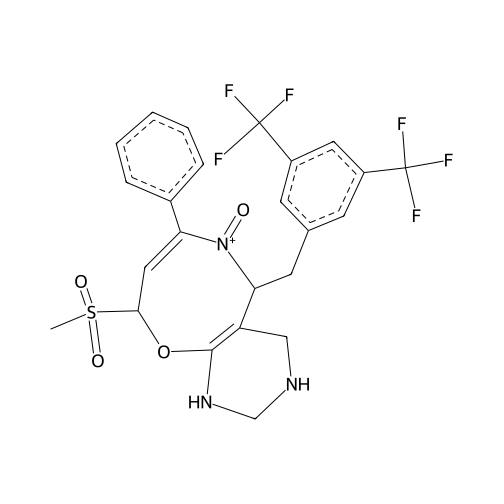 CS(=O)(=O)C1/C=C(/c2ccccc2)[N+](=O)C(Cc2cc(C(F)(F)F)cc(C(F)(F)F)c2)C2=C(NCNC2)O1